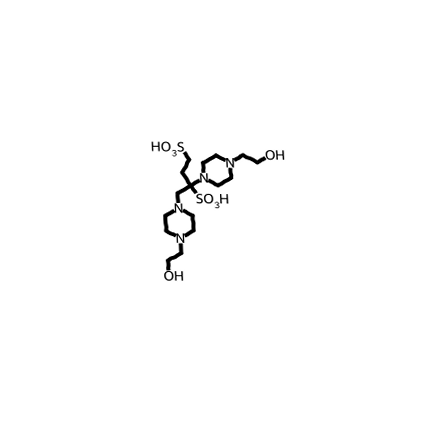 O=S(=O)(O)CCC(CN1CCN(CCO)CC1)(N1CCN(CCO)CC1)S(=O)(=O)O